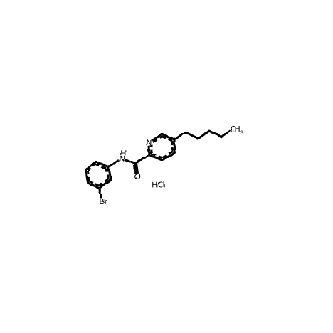 CCCCCc1ccc(C(=O)Nc2cccc(Br)c2)nc1.Cl